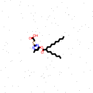 CCCCCCCCCC(CCCCCCC)C(=O)Oc1cc(C)nc(SCC(=O)O)n1